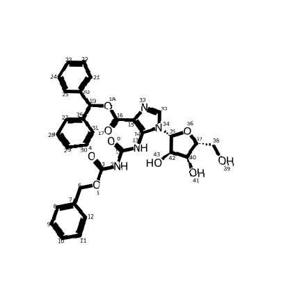 O=C(NC(=O)OCc1ccccc1)Nc1c(C(=O)OC(c2ccccc2)c2ccccc2)ncn1[C@@H]1O[C@H](CO)[C@@H](O)[C@H]1O